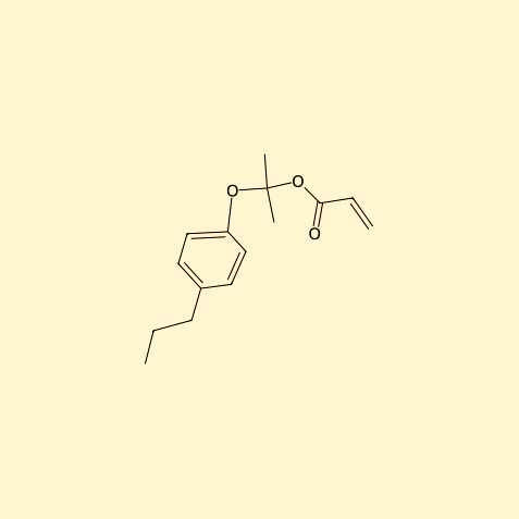 C=CC(=O)OC(C)(C)Oc1ccc(CCC)cc1